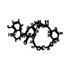 Cc1cccc2c1NCCN2c1cc2cnc3nc2n(c1=O)CCOCCOc1cccc(c1)N3